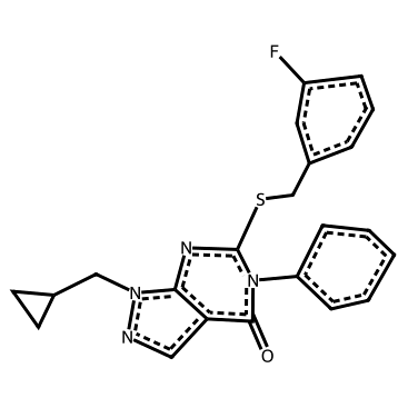 O=c1c2cnn(CC3CC3)c2nc(SCc2cccc(F)c2)n1-c1ccccc1